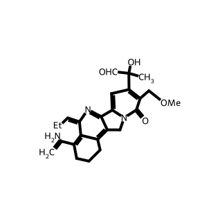 C=C(N)C1=c2c(c3c(n/c2=C/CC)-c2cc(C(C)(O)C=O)c(COC)c(=O)n2C3)CCC1